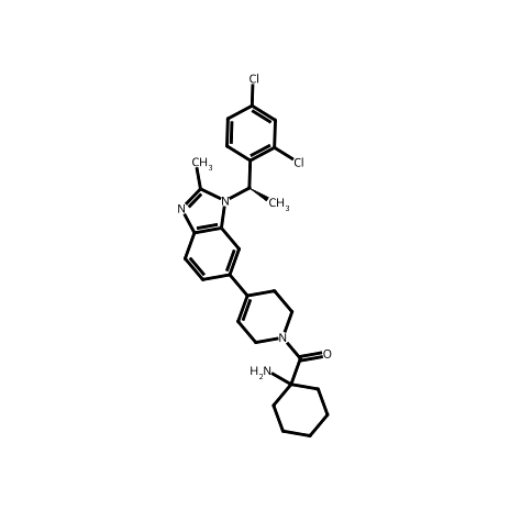 Cc1nc2ccc(C3=CCN(C(=O)C4(N)CCCCC4)CC3)cc2n1[C@H](C)c1ccc(Cl)cc1Cl